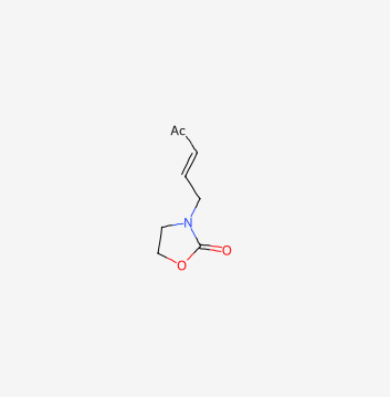 CC(=O)/C=C/CN1CCOC1=O